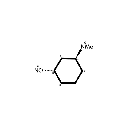 CN[C@H]1CCC[C@H](C#N)C1